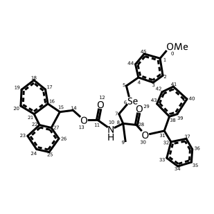 COc1ccc(C[Se]CC(C)(NC(=O)OCC2c3ccccc3-c3ccccc32)C(=O)OC(c2ccccc2)c2ccccc2)cc1